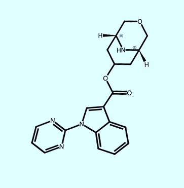 O=C(OC1C[C@H]2COC[C@@H](C1)N2)c1cn(-c2ncccn2)c2ccccc12